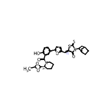 CC1OC([C@@H]2CCCCN2C(=O)c2cc(-c3ccc(/C=C4\SC(=S)N(C5CC6CCC5C6)C4=O)o3)ccc2O)O1